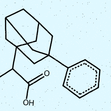 CC(C(=O)O)C12CC3CC(CC(c4ccccc4)(C3)C1)C2